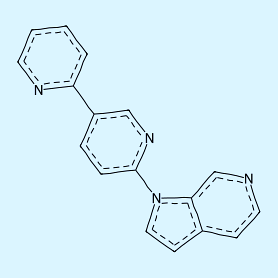 c1ccc(-c2ccc(-n3ccc4ccncc43)nc2)nc1